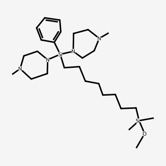 CO[Si](C)(C)CCCCCCCC[Si](c1ccccc1)(N1CCN(C)CC1)N1CCN(C)CC1